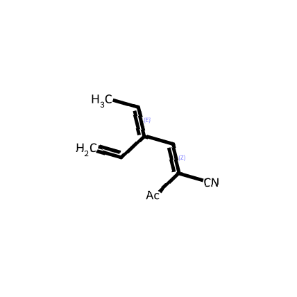 C=CC(/C=C(/C#N)C(C)=O)=C\C